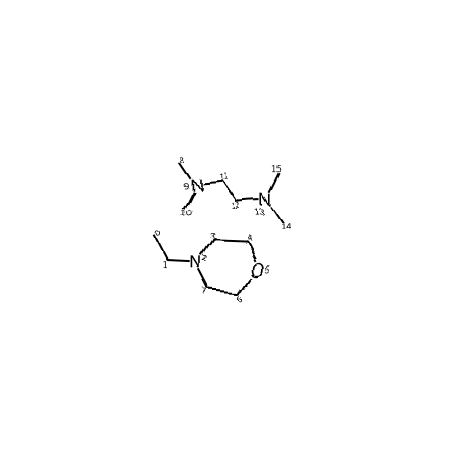 CCN1CCOCC1.CN(C)CCN(C)C